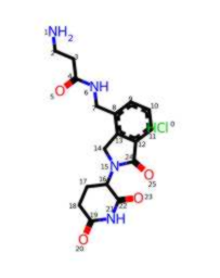 Cl.NCCC(=O)NCc1cccc2c1CN(C1CCC(=O)NC1=O)C2=O